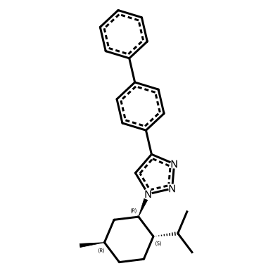 CC(C)[C@@H]1CC[C@@H](C)C[C@H]1n1cc(-c2ccc(-c3ccccc3)cc2)nn1